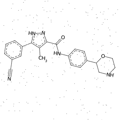 Cc1c(C(=O)Nc2ccc(C3CNCCO3)cc2)n[nH]c1-c1cccc(C#N)c1